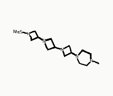 CSN1CC(N2CC(N3CC(N4CCN(C)CC4)C3)C2)C1